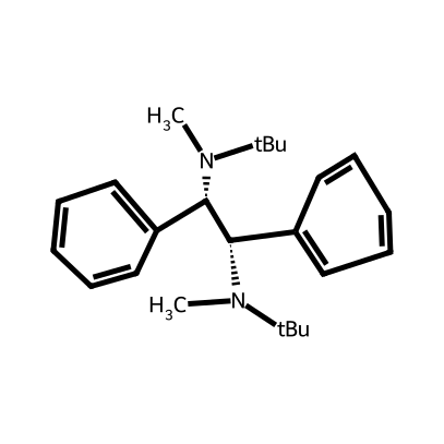 CN([C@@H](c1ccccc1)[C@H](c1ccccc1)N(C)C(C)(C)C)C(C)(C)C